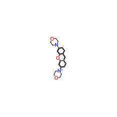 c1cc(=[N+]2CCOCC2)cc2oc3cc(N4CCOCC4)ccc3cc1-2